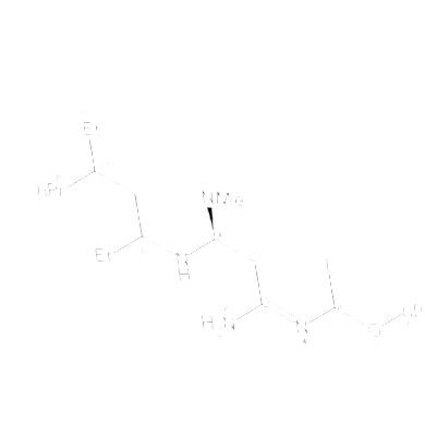 CCCCCOC(I)/N=C(/N)C[C@H](NC)NC(CC)CC(CC)CCC